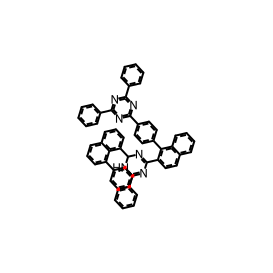 c1ccc(C2=NC(c3ccc4ccccc4c3-c3ccc(-c4nc(-c5ccccc5)nc(-c5ccccc5)n4)cc3)=NC(c3cccc4cccc(-c5ccccc5)c34)N2)cc1